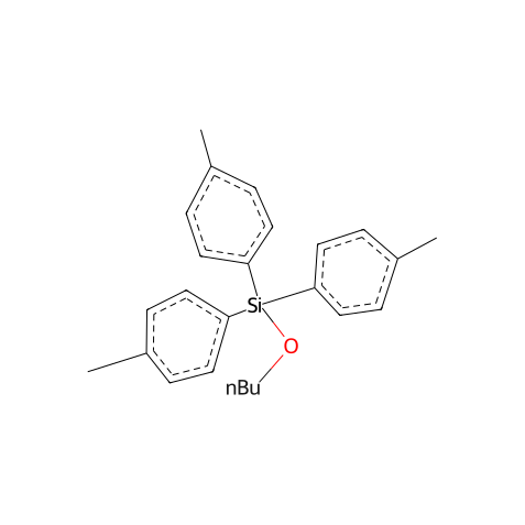 CCCCO[Si](c1ccc(C)cc1)(c1ccc(C)cc1)c1ccc(C)cc1